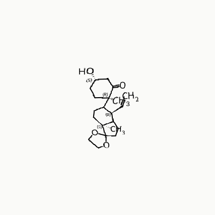 C=C[C@@H]1C([C@@]2(C)CC[C@H](O)CC2=O)CC[C@@]2(C)C1CCC21OCCO1